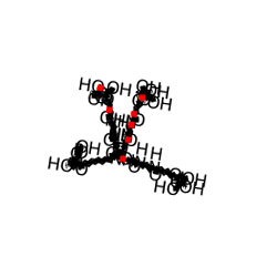 C[C@@H](O)C(CO)O[C@@H](OCCCCC(=O)NCCCNC(=O)CCOCC(COCCC(=O)NCCCNC(=O)CCCCO[C@@H]1OC(CO)[C@H](O)C(O)[C@@H]1C)(COCCC(=O)NCCCNC(=O)CCCCO[C@@H]1OC(CO)[C@H](O)C(O)[C@@H]1C)NC(=O)CCCCCCCCC(=O)N1C[C@H](O)C[C@H]1COP(C)(=O)O)[C@@H](C)CO